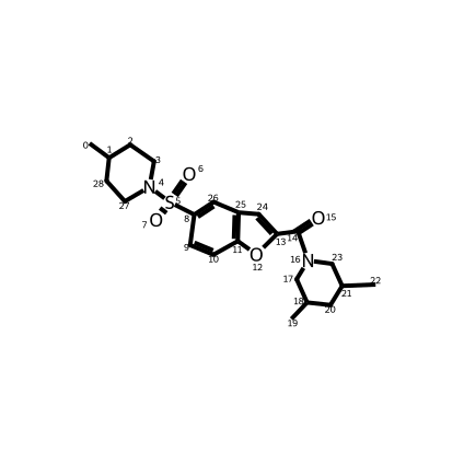 CC1CCN(S(=O)(=O)c2ccc3oc(C(=O)N4CC(C)CC(C)C4)cc3c2)CC1